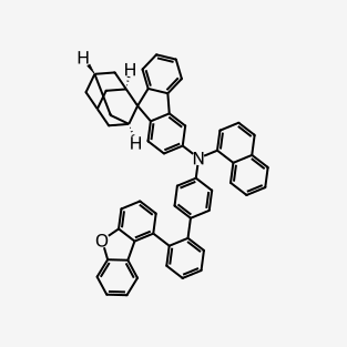 c1ccc(-c2cccc3oc4ccccc4c23)c(-c2ccc(N(c3ccc4c(c3)-c3ccccc3C43[C@H]4CC5C[C@H](C4)C[C@@H]3C5)c3cccc4ccccc34)cc2)c1